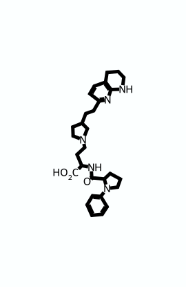 O=C(O)C(CCN1CCC(CCc2ccc3c(n2)NCCC3)C1)NC(=O)C1CCCN1c1ccccc1